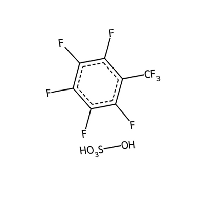 Fc1c(F)c(F)c(C(F)(F)F)c(F)c1F.O=S(=O)(O)O